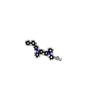 CCCCc1cccc(-n2c3ccccc3c3cc(-c4ccc5c(c4)c4ccccc4n5-c4ccc(-c5cccc(-c6ccccc6)c5)cc4)ccc32)c1